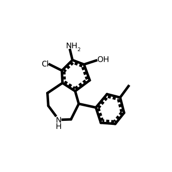 Cc1cccc(C2CNCCc3c2cc(O)c(N)c3Cl)c1